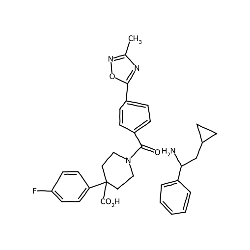 Cc1noc(-c2ccc(C(=O)N3CCC(C(=O)O)(c4ccc(F)cc4)CC3)cc2)n1.NC(CC1CC1)c1ccccc1